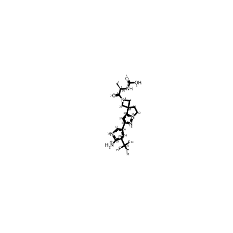 C[C@@H](NC(=O)O)C(=O)N1CC2(CCn3nc(-c4cnc(N)c(C(F)(F)F)c4)cc32)C1